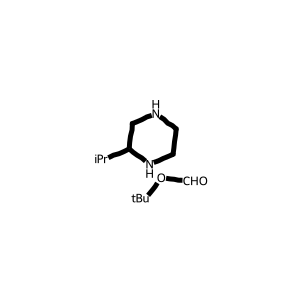 CC(C)(C)OC=O.CC(C)C1CNCCN1